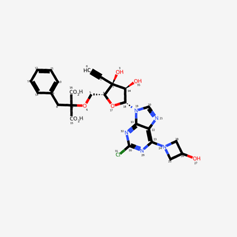 C#C[C@@]1(O)[C@@H](COC(Cc2ccccc2)(C(=O)O)C(=O)O)O[C@@H](n2cnc3c(N4CC(O)C4)nc(Cl)nc32)[C@@H]1O